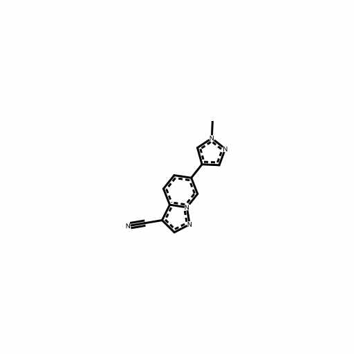 Cn1cc(-c2ccc3c(C#N)cnn3c2)cn1